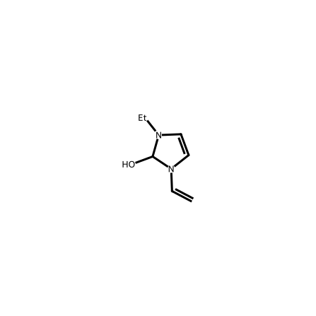 C=CN1C=CN(CC)C1O